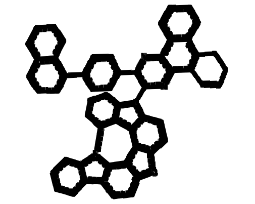 C1=Cc2c(c3ccccc3c3nc(-c4ccc(-c5cccc6ccccc56)cc4)c(-n4c5ccc6oc7ccc8c9ccccc9n9c%10cccc4c%10c5c6c7c89)nc23)CC1